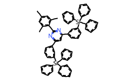 Cc1cc(C)c(-c2nc(-c3cccc([Si](c4ccccc4)(c4ccccc4)c4ccccc4)c3)cc(-c3cccc([Si](c4ccccc4)(c4ccccc4)c4ccccc4)c3)n2)c(C)c1